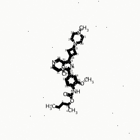 CCC[C@H](C)OC(=O)Nc1ccc(C2=NC(C3CC(N4CCN(C)CC4)C3)=C3C=NC=C[N+]23C)cc1OC